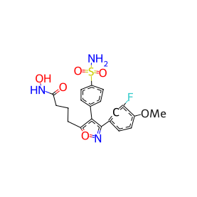 COc1ccc(-c2noc(CCCC(=O)NO)c2-c2ccc(S(N)(=O)=O)cc2)cc1F